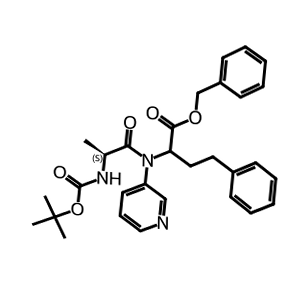 C[C@H](NC(=O)OC(C)(C)C)C(=O)N(c1cccnc1)C(CCc1ccccc1)C(=O)OCc1ccccc1